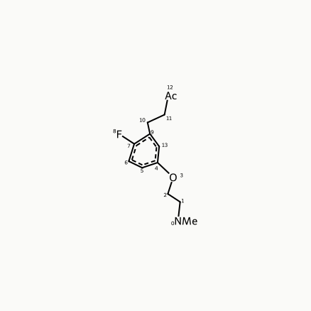 CNCCOc1ccc(F)c(CCC(C)=O)c1